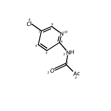 CC(=O)C(=O)Nc1ccc(Cl)cn1